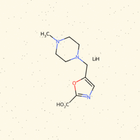 CN1CCN(Cc2cnc(C(=O)O)o2)CC1.[LiH]